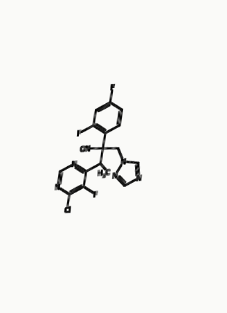 CC(c1ncnc(Cl)c1F)C(Cn1cncn1)(N=O)c1ccc(F)cc1F